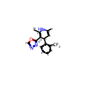 CC1=CC(c2ccccc2C(F)(F)F)C(c2nnco2)=C(C)N1